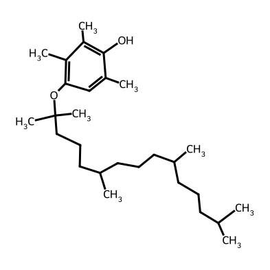 Cc1cc(OC(C)(C)CCCC(C)CCCC(C)CCCC(C)C)c(C)c(C)c1O